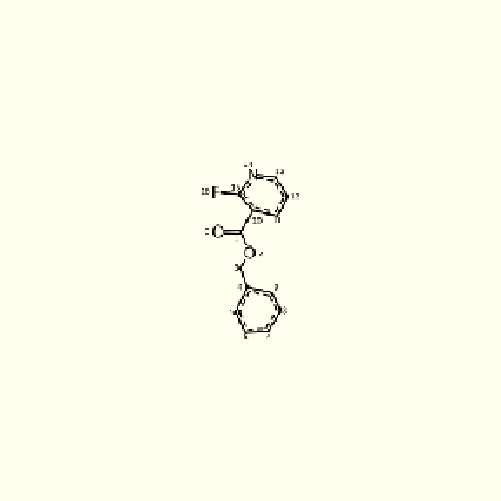 O=C(OCc1ccccc1)c1cccnc1F